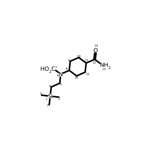 C[Si](C)(C)CCN(C(=O)O)C1CCC(C(N)=O)CC1